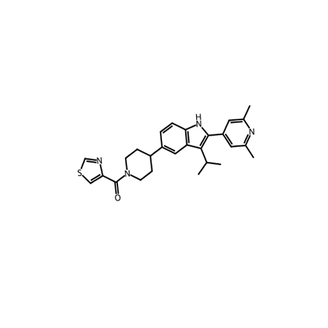 Cc1cc(-c2[nH]c3ccc(C4CCN(C(=O)c5cscn5)CC4)cc3c2C(C)C)cc(C)n1